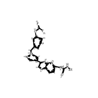 CCNC(=O)Nc1ccc2ncc(-c3cnn(Cc4cccc(OC(F)F)c4)c3)nc2n1